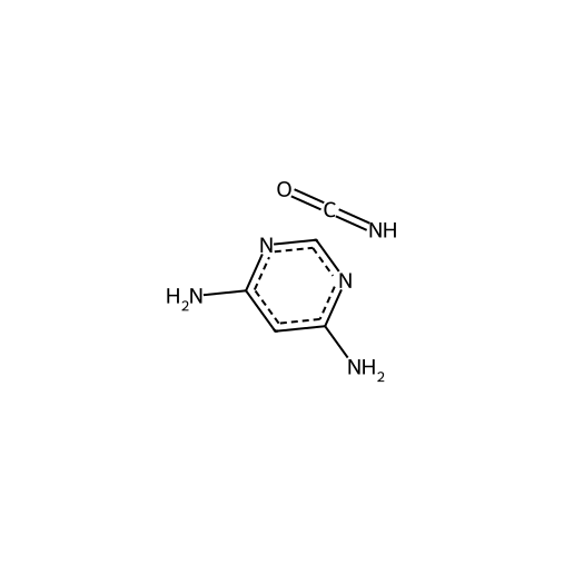 N=C=O.Nc1cc(N)ncn1